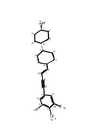 CCC[C@H]1CC[C@H](C2CCC(/C=C/C#Cc3cc(F)c(C(F)(F)F)c(F)c3)CC2)CC1